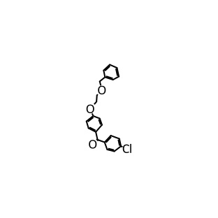 O=C(c1ccc(Cl)cc1)c1ccc(OCCOCc2ccccc2)cc1